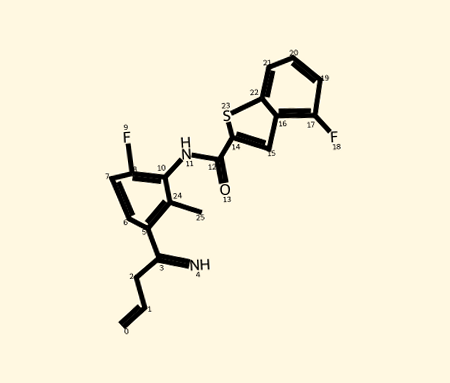 C=CCC(=N)c1ccc(F)c(NC(=O)c2cc3c(F)cccc3s2)c1C